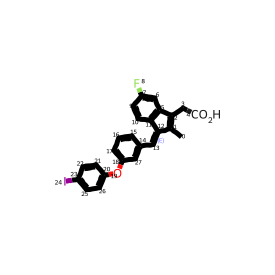 CC1=C(CC(=O)O)c2cc(F)ccc2/C1=C\c1cccc(Oc2ccc(I)cc2)c1